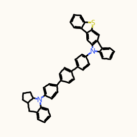 c1ccc2c(c1)CC1CCCC1N2c1ccc(-c2ccc(-c3ccc(-n4c5ccccc5c5cc6sc7ccccc7c6cc54)cc3)cc2)cc1